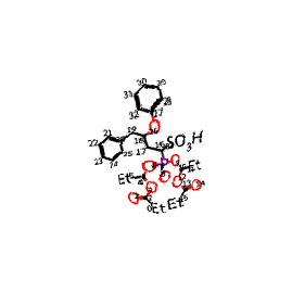 CCC(=O)OC(CC)OP(=O)(OC(CC)OC(=O)CC)C(CC(Cc1ccccc1)Oc1ccccc1)S(=O)(=O)O